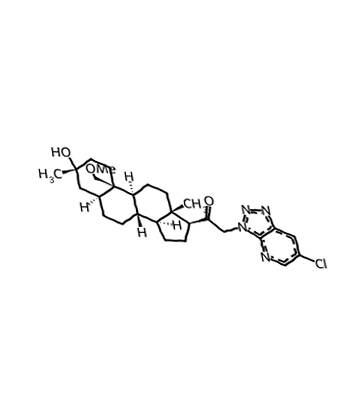 COC[C@]12CC[C@@](C)(O)C[C@@H]1CC[C@H]1[C@@H]3CC[C@H](C(=O)Cn4nnc5cc(Cl)cnc54)[C@@]3(C)CC[C@@H]12